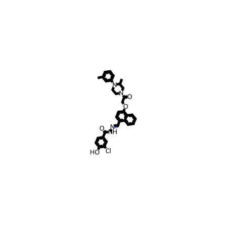 Cc1cccc(N2CCN(C(=O)COc3ccc(/C=N/NC(=O)c4ccc(O)c(Cl)c4)c4ccccc34)CC2C)c1